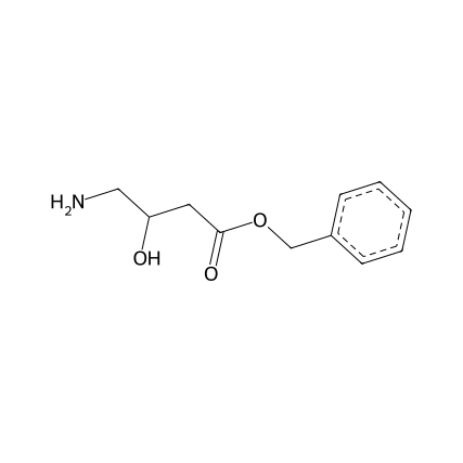 NCC(O)CC(=O)OCc1ccccc1